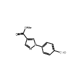 COC(=O)c1cnn(-c2ccc(C=O)cc2)c1